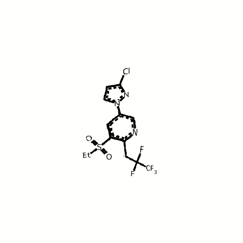 CCS(=O)(=O)c1cc(-n2ccc(Cl)n2)cnc1[CH]C(F)(F)C(F)(F)F